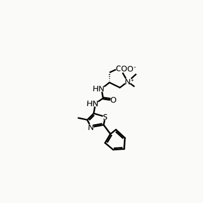 Cc1nc(-c2ccccc2)sc1NC(=O)N[C@H](CC(=O)[O-])C[N+](C)(C)C